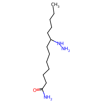 CCCCCC(CCCCCCC(N)=O)NN